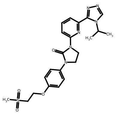 CC(C)n1cnnc1-c1cccc(N2CCN(c3ccc(OCCS(C)(=O)=O)cc3)C2=O)n1